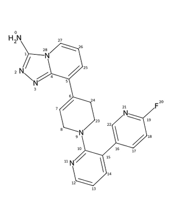 Nc1nnc2c(C3=CCN(c4ncccc4-c4ccc(F)nc4)CC3)cccn12